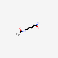 NC(=O)CCCCCNC(=O)C(F)(F)F